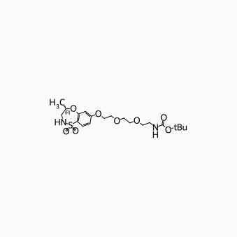 C[C@@H]1CNS(=O)(=O)c2ccc(OCCOCCOCCNC(=O)OC(C)(C)C)cc2O1